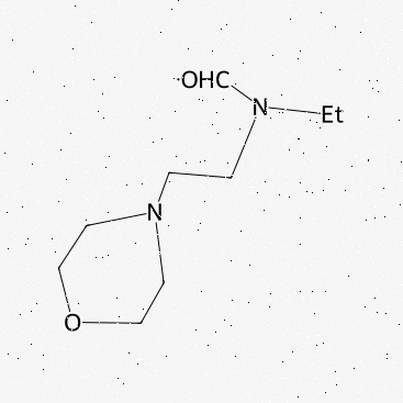 CCN([C]=O)CCN1CCOCC1